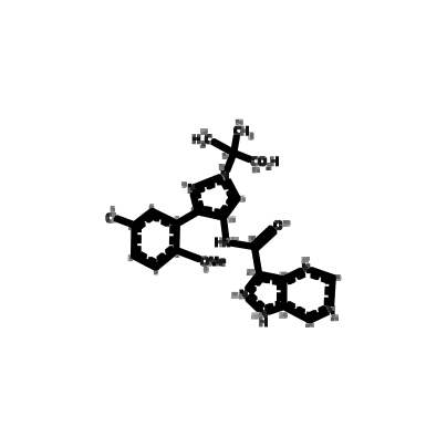 COc1ccc(Cl)cc1-c1nn(C(C)(C)C(=O)O)cc1NC(=O)c1n[nH]c2cncnc12